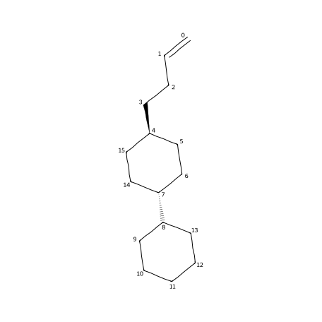 C=CCC[C@H]1CC[C@H](C2CCCCC2)CC1